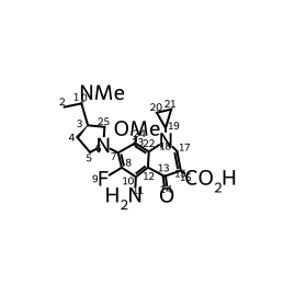 CN[C@@H](C)[C@@H]1CCN(c2c(F)c(N)c3c(=O)c(C(=O)O)cn(C4CC4)c3c2OC)C1